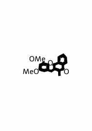 COc1cc(CC2=C(C)C(=O)c3ccccc3C2=O)cc(OC)c1